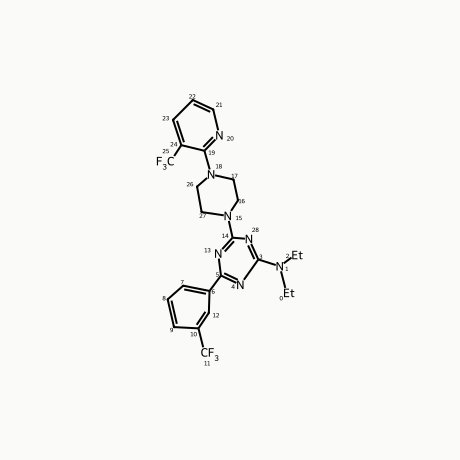 CCN(CC)c1nc(-c2cccc(C(F)(F)F)c2)nc(N2CCN(c3ncccc3C(F)(F)F)CC2)n1